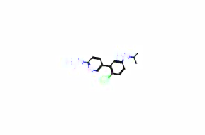 CC(C)Nc1ccc(Cl)c(-c2ccc(N)nc2)c1